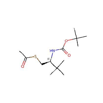 CC(=O)SC[C@@H](NC(=O)OC(C)(C)C)C(C)(C)C